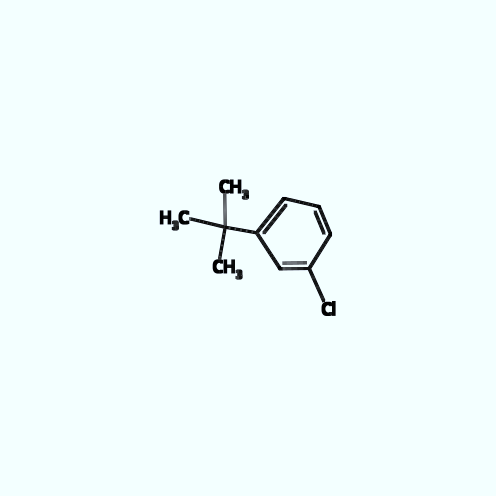 CC(C)(C)c1cccc(Cl)c1